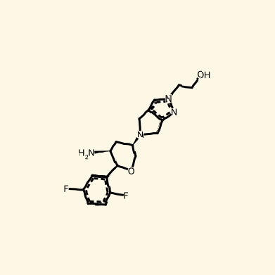 N[C@H]1C[C@@H](N2Cc3cn(CCO)nc3C2)COC1c1cc(F)ccc1F